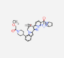 COCC(=O)N1CCC(c2cccc3cc(-c4nn5cc(C(=O)N6CC7CCC6[C@@H]7N)ccc5c4C)n(CC4CC4)c23)CC1